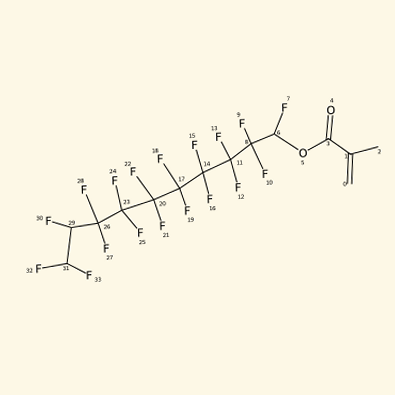 C=C(C)C(=O)OC(F)C(F)(F)C(F)(F)C(F)(F)C(F)(F)C(F)(F)C(F)(F)C(F)(F)C(F)C(F)F